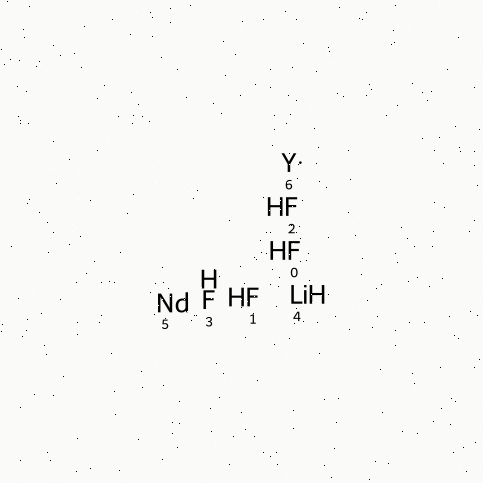 F.F.F.F.[LiH].[Nd].[Y]